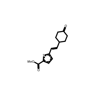 COC(=O)c1[c]cc(C=CC2CCC(=O)CC2)s1